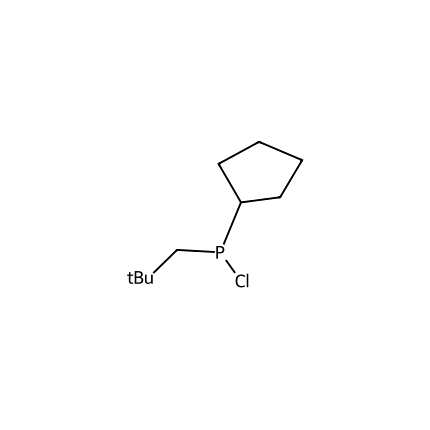 CC(C)(C)CP(Cl)C1CCCC1